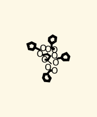 O=C(OC[C@H]1O[C@H](OC(=O)c2ccccc2)[C@H](OC(=O)c2ccccc2)[C@@H]1OC(=O)c1ccccc1)c1ccccc1